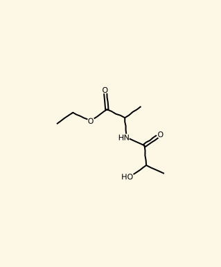 CCOC(=O)C(C)NC(=O)C(C)O